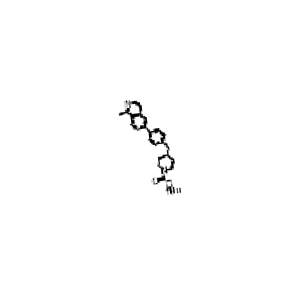 Cc1nccc2cc(-c3ccc(CC4CCN(C(=O)OC(C)(C)C)CC4)cc3)ccc12